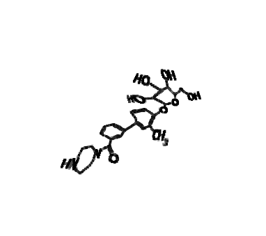 Cc1cc(-c2cccc(C(=O)N3CCNCC3)c2)ccc1OC1OC(CO)C(O)C(O)C1O